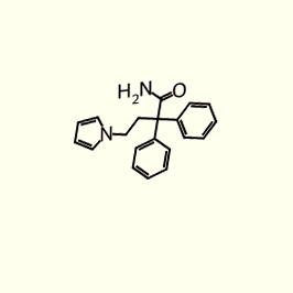 NC(=O)C(CCn1cccc1)(c1ccccc1)c1ccccc1